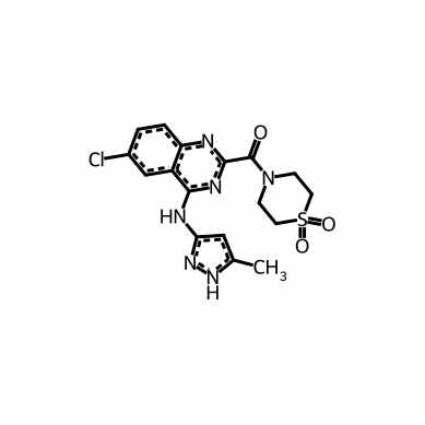 Cc1cc(Nc2nc(C(=O)N3CCS(=O)(=O)CC3)nc3ccc(Cl)cc23)n[nH]1